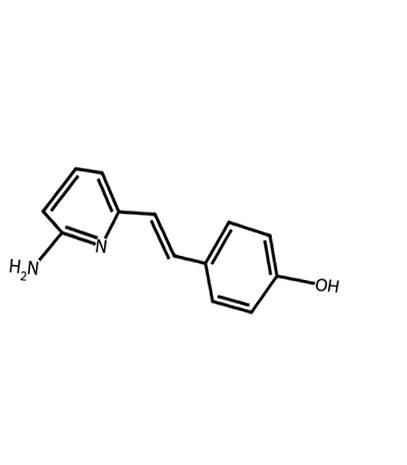 Nc1cccc(C=Cc2ccc(O)cc2)n1